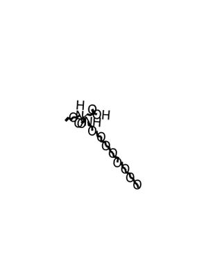 C=CCOC(=O)N[C@@H](CCC(=O)O)C(=O)NCCOCCOCCOCCOCCOCCOCCOCCOC